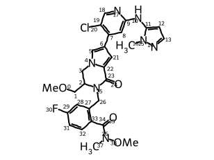 COCC1Cn2cc(-c3cc(Nc4ccnn4C)ncc3Cl)cc2C(=O)N1Cc1cc(F)ccc1C(=O)N(C)OC